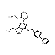 CCn1cnc2c(NCc3ccc(-c4ncco4)nc3)nc(N3CCOC[C@H]3CCO)nc21